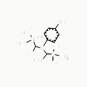 CCC(N(c1ccc(N)cc1)C(CC)[N+](C)(C)C)[N+](C)(C)C.[Cl-].[Cl-]